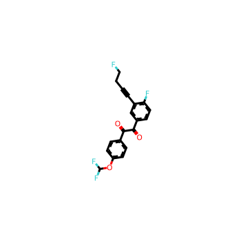 O=C(C(=O)c1ccc(F)c(C#CCCF)c1)c1ccc(OC(F)F)cc1